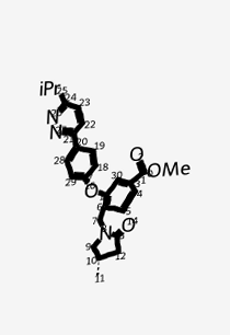 COC(=O)c1ccc(CN2C[C@@H](C)CC2=O)c(Oc2ccc(-c3ccc(C(C)C)nn3)cc2)c1